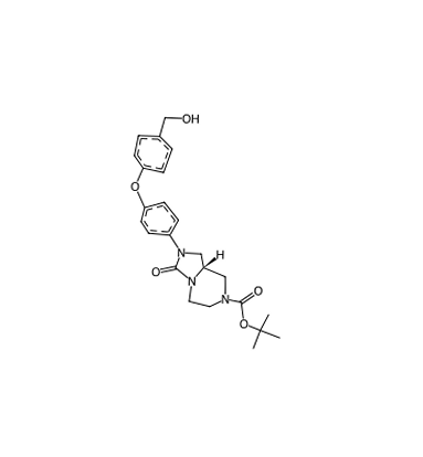 CC(C)(C)OC(=O)N1CCN2C(=O)N(c3ccc(Oc4ccc(CO)cc4)cc3)C[C@@H]2C1